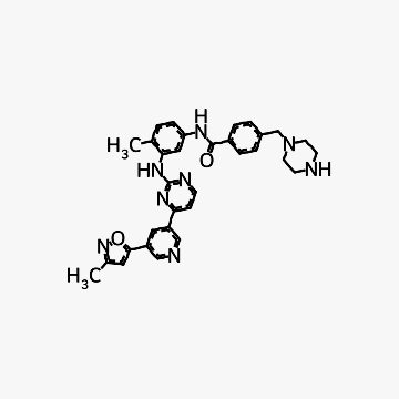 Cc1cc(-c2cncc(-c3ccnc(Nc4cc(NC(=O)c5ccc(CN6CCNCC6)cc5)ccc4C)n3)c2)on1